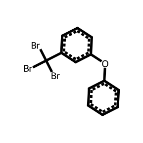 BrC(Br)(Br)c1cccc(Oc2ccccc2)c1